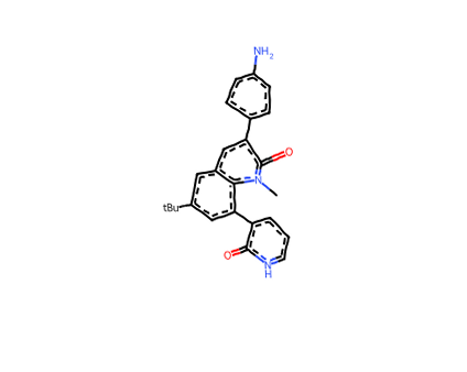 Cn1c(=O)c(-c2ccc(N)cc2)cc2cc(C(C)(C)C)cc(-c3ccc[nH]c3=O)c21